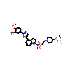 CC(C)Oc1ccc(-c2ncc(-c3cccc4c3CC[C@H]4NS(=O)(=O)CCN3CCC(N(C)C)CC3)s2)cc1C#N